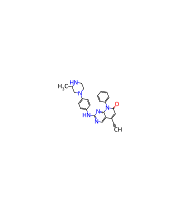 C#Cc1cc(=O)n(-c2ccccc2)c2nc(Nc3ccc(N4CCNC(C)C4)cc3)ncc12